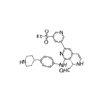 CCS(=O)(=O)c1cncc(-c2cc3c(c(Nc4ccc(C5CCNCC5)cc4)n2)C(C=O)NC=C3)c1